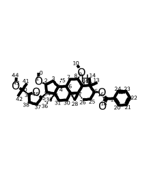 CO[C@H]1C[C@@]2(C)C3C[C@H](OC)[C@H]4C(C)(C)[C@@H](OC(=O)c5ccccc5)CC[C@@]45C[C@@]35CC[C@]2(C)[C@H]1[C@@]1(C)CC[C@@H](C(C)(C)OC)O1